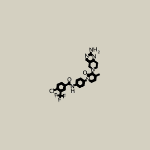 Cc1ccn(-c2ccc(NC(=O)c3ccc(Cl)c(C(F)(F)F)c3)cc2)c(=O)c1N1CCc2nc(N)ncc2C1